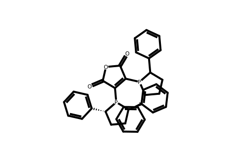 O=C1OC(=O)C(P2[C@@H](c3ccccc3)CC[C@@H]2c2ccccc2)=C1P1C(c2ccccc2)CC[C@@H]1c1ccccc1